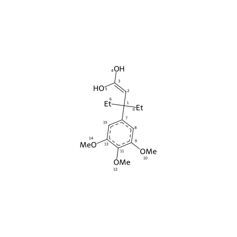 CCC(C=C(O)O)(CC)c1cc(OC)c(OC)c(OC)c1